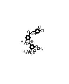 COc1cc(C(=O)Nc2cc(C(=O)NCc3ccc(Cl)c(Cl)c3)ccc2C)cc(OC)c1OC